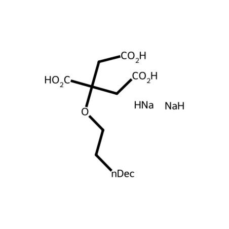 CCCCCCCCCCCCOC(CC(=O)O)(CC(=O)O)C(=O)O.[NaH].[NaH]